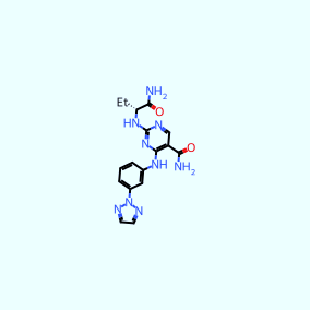 CC[C@@H](Nc1ncc(C(N)=O)c(Nc2cccc(-n3nccn3)c2)n1)C(N)=O